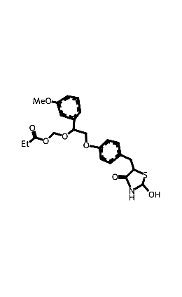 CCC(=O)OCOC(COc1ccc(CC2SC(O)NC2=O)cc1)c1cccc(OC)c1